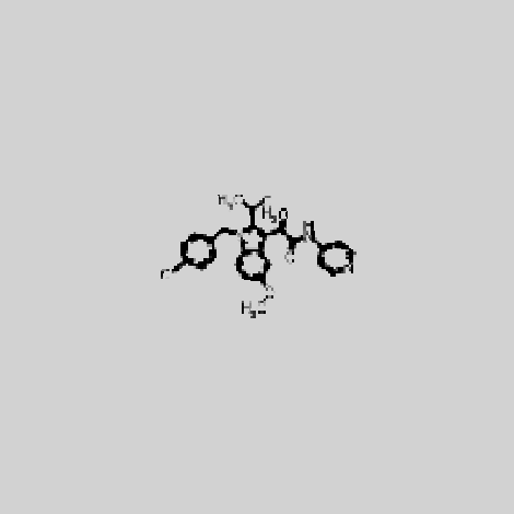 COc1ccc2c(c1)c(C(=O)C(=O)Nc1ccncc1)c(C(C)C)n2Cc1ccc(Cl)cc1